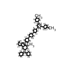 Cc1ccc(-c2cc(-c3ccc(-c4ccc(-c5ccc(-n6c7ccccc7c7cc(N(c8ccccc8)c8ccccc8)ccc76)c(C)c5)cc4)cc3)nc(-c3ccc(C)cc3)n2)cc1